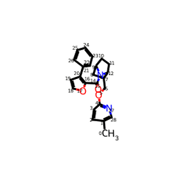 Cc1ccc(OCC2CC3CCC2N3C(=O)c2occc2-c2ccccc2)nc1